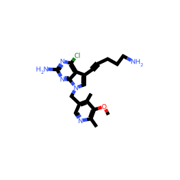 COc1c(C)ncc(Cn2cc(C#CCCCN)c3c(Cl)nc(N)nc32)c1C